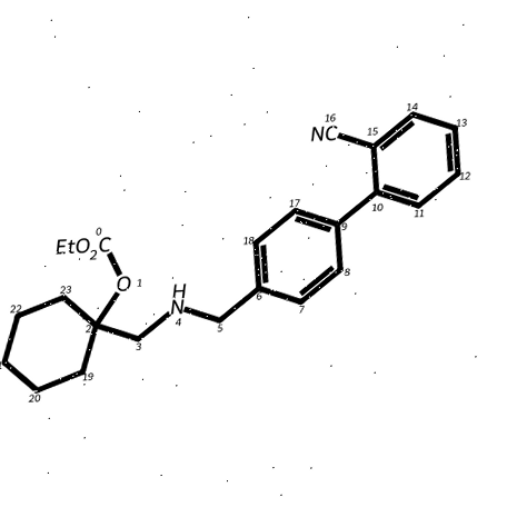 CCOC(=O)OC1(CNCc2ccc(-c3ccccc3C#N)cc2)CCCCC1